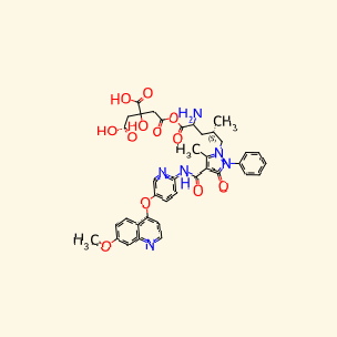 COc1ccc2c(Oc3ccc(NC(=O)c4c(C)n(C[C@@H](C)CC(N)C(=O)OC(=O)CC(O)(CC(=O)O)C(=O)O)n(-c5ccccc5)c4=O)nc3)ccnc2c1